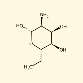 CC[C@@H]1O[C@H](O)[C@@H](N)[C@@H](O)[C@H]1O